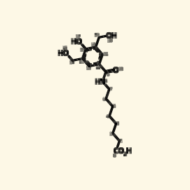 O=C(O)CCCCCCCNC(=O)c1cc(CO)c(O)c(CO)c1